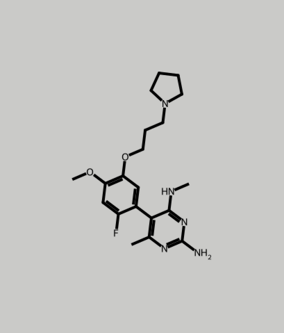 CNc1nc(N)nc(C)c1-c1cc(OCCCN2CCCC2)c(OC)cc1F